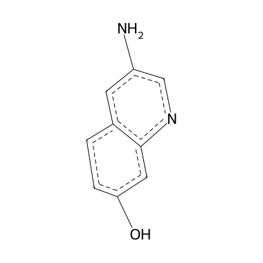 Nc1cnc2cc(O)ccc2c1